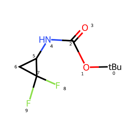 CC(C)(C)OC(=O)NC1CC1(F)F